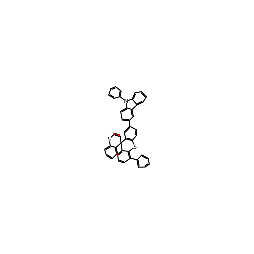 c1ccc(-c2cccc3c2Sc2ccc(-c4ccc5c(c4)c4ccccc4n5-c4ccccc4)cc2C32c3ccccc3Sc3ccccc32)cc1